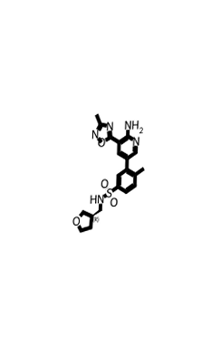 Cc1noc(-c2cc(-c3cc(S(=O)(=O)NC[C@H]4CCOC4)ccc3C)cnc2N)n1